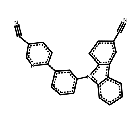 N#Cc1ccc(-c2cccc(-n3c4ccccc4c4cc(C#N)ccc43)c2)nc1